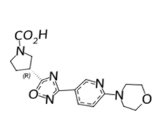 O=C(O)N1CC[C@@H](c2nc(-c3ccc(N4CCOCC4)nc3)no2)C1